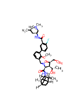 COc1c(CN2O[C@@H](CO)[C@@H]([C@H](C)O)[C@H]2C(=O)N[C@H]2C[C@H]3C[C@@H]([C@@H]2C)C3(C)C)cccc1-c1ccc(F)c(C(=O)N[C@@H](CC(C)C)CN(C)C)c1